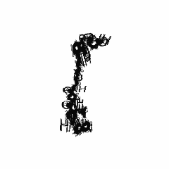 O=C1CCC(N2C(=O)c3cccc(NCCCOCCCNC(=O)C4CCC(NC(=O)c5cnc(Nc6ccc7cnccc7n6)cc5NC5CC5)CC4)c3C2=O)C(=O)N1